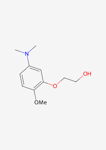 COc1ccc(N(C)C)cc1OCCO